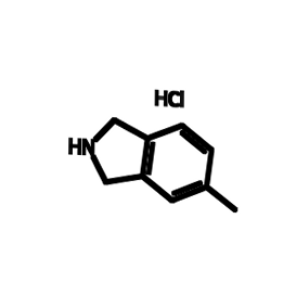 Cc1ccc2c(c1)CNC2.Cl